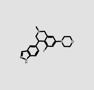 CN1Cc2cc(N3CCOCC3)cc(F)c2C(c2ccc3[nH]ncc3c2)C1